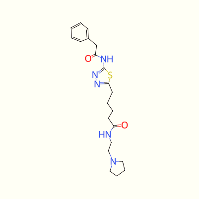 O=C(CCCCc1nnc(NC(=O)Cc2ccccc2)s1)NCCN1CCCC1